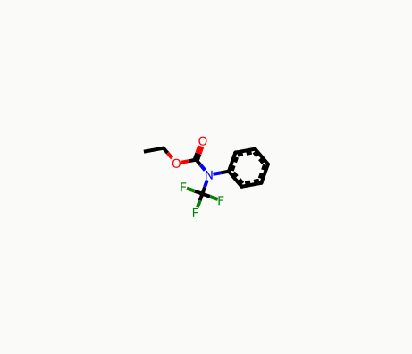 CCOC(=O)N(c1ccccc1)C(F)(F)F